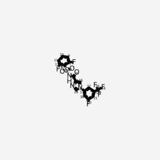 O=C(NS(=O)(=O)c1c(F)cccc1F)c1cn(-c2cc(F)cc(C(F)(F)F)c2)cn1